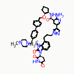 CN1CCN(Cc2ccc(-c3ccc(CO[C@H]4CCC[C@@H]4NC(=O)c4cc(-c5cnn(CCCc6cccc7c6n(C)c(=O)n7C6CCC(=O)NC6=O)c5)cnc4N)cc3)cc2)CC1